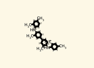 Cc1ccc(Nc2ccc(-c3ccc(Nc4ccc(C)cc4C)c(C)c3)cc2C)c(C)c1